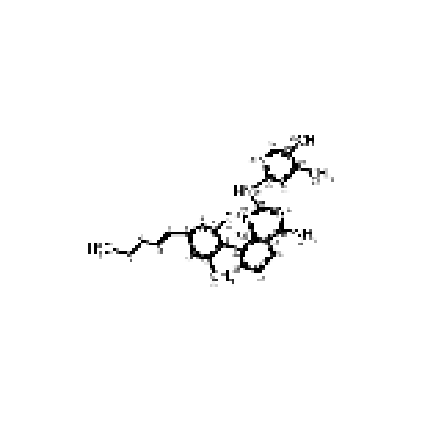 CCC/C=C/c1cc(C)c(-c2cccc3c(N)nc(Nc4cc(C)c(C)cn4)nc23)c(C)c1